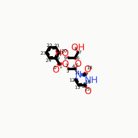 O=C(OCC(OC(CO)CO)n1ccc(=O)[nH]c1=O)c1ccccc1